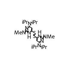 CNN1N=C(N(C(C)C)C(C)C)C=C(SSC2=CC(N(C(C)C)C(C)C)=NN(NC)N2)N1